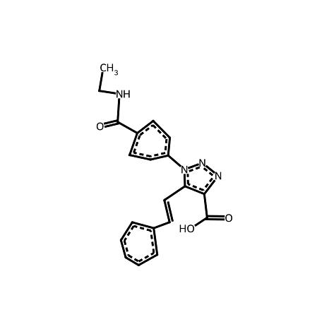 CCNC(=O)c1ccc(-n2nnc(C(=O)O)c2/C=C/c2ccccc2)cc1